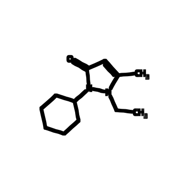 CCn1c(C)cc(=O)n1C1CCCCC1